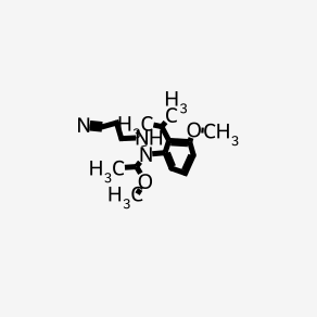 COc1cccc(N(NCCC#N)C(C)OC)c1C(C)C